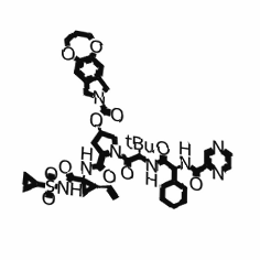 C=C[C@H]1C[C@@]1(NC(=O)C1C[C@@H](OC(=O)N2Cc3cc4c(cc3C2)OCCCO4)CN1C(=O)[C@@H](NC(=O)[C@@H](NC(=O)c1cnccn1)C1CCCCC1)C(C)(C)C)C(=O)NS(=O)(=O)C1CC1